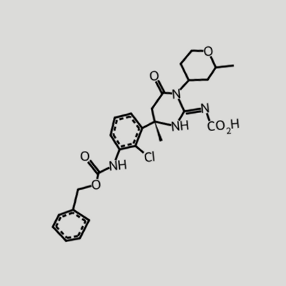 CC1CC(N2C(=O)C[C@@](C)(c3cccc(NC(=O)OCc4ccccc4)c3Cl)N/C2=N\C(=O)O)CCO1